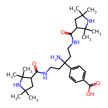 CC1(C)CC(C(=O)NCCC(N)(CCNC(=O)C2CC(C)(C)NC2(C)C)c2ccc(C(=O)O)cc2)C(C)(C)N1